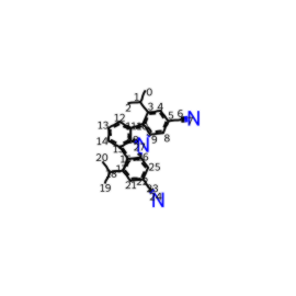 CC(C)c1cc(C#N)cc2c1c1cccc3c4c(C(C)C)cc(C#N)cc4n2c13